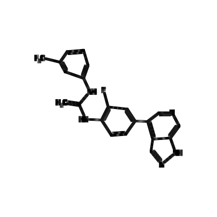 C=C(Nc1cccc(C(F)(F)F)c1)Nc1ccc(-c2cncc3[nH]ncc23)cc1F